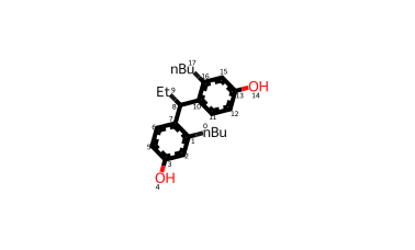 CCCCc1cc(O)ccc1C(CC)c1ccc(O)cc1CCCC